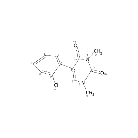 Cn1cc(-c2ccccc2Cl)c(=O)n(C)c1=O